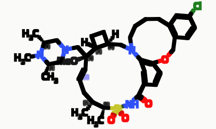 CO[C@]1(CN2C[C@@H](C)N(C)[C@@H](C)C2)/C=C/C[C@@H](C)[C@@H](C)S(=O)(=O)NC(=O)c2ccc3c(c2)N(CCCCc2cc(Cl)ccc2CO3)C[C@@H]2CC[C@H]21